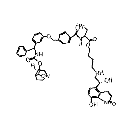 CC(C)CC(NC(=O)c1ccc(COc2cccc(C(NC(=O)O[C@H]3CN4CCC3CC4)c3ccccc3)c2)cc1)C(=O)OCCCCNC[C@H](O)c1ccc(O)c2[nH]c(=O)ccc12